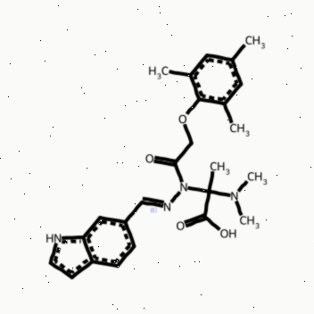 Cc1cc(C)c(OCC(=O)N(/N=C/c2ccc3cc[nH]c3c2)C(C)(C(=O)O)N(C)C)c(C)c1